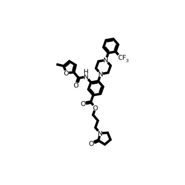 Cc1ccc(C(=O)Nc2cc(C(=O)OCCCN3CCCC3=O)ccc2N2CCN(c3ccccc3C(F)(F)F)CC2)o1